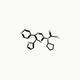 NC(=O)N(c1cnc(-c2ccncc2)c(-c2ccco2)n1)C1CCCC1